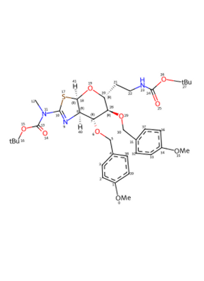 COc1ccc(CO[C@@H]2[C@H]3N=C(N(C)C(=O)OC(C)(C)C)S[C@H]3O[C@H](CCNC(=O)OC(C)(C)C)[C@H]2OCc2ccc(OC)cc2)cc1